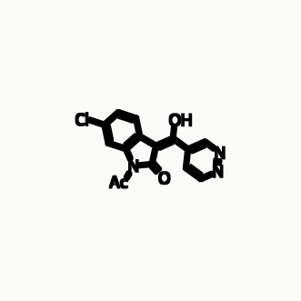 CC(=O)N1C(=O)/C(=C(/O)c2ccnnc2)c2ccc(Cl)cc21